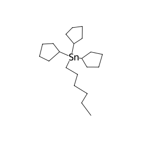 CCCCC[CH2][Sn]([CH]1CCCC1)([CH]1CCCC1)[CH]1CCCC1